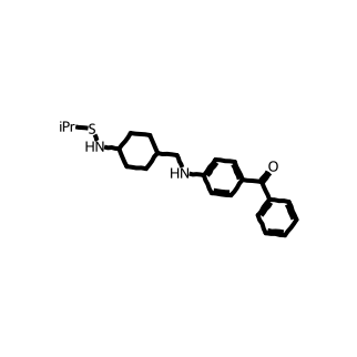 CC(C)SNC1CCC(CNc2ccc(C(=O)c3ccccc3)cc2)CC1